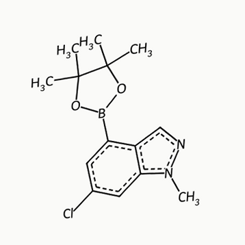 Cn1ncc2c(B3OC(C)(C)C(C)(C)O3)cc(Cl)cc21